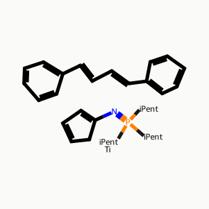 C(C=Cc1ccccc1)=Cc1ccccc1.CCCC(C)P(=NC1=CC=CC1)(C(C)CCC)C(C)CCC.[Ti]